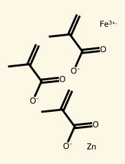 C=C(C)C(=O)[O-].C=C(C)C(=O)[O-].C=C(C)C(=O)[O-].[Fe+3].[Zn]